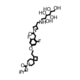 CC(C)OC(=O)N1CCC2(CCC2CCOc2cc(F)c(CC(=O)N3CC(CNCC(O)C(O)C(O)C(O)CO)C3)c(F)c2)CC1